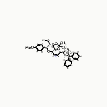 COc1ccc(COC(/C=C\CC(C)O[Si](c2ccccc2)(c2ccccc2)C(C)(C)C)[C@H]2OC(C)(C)O[C@H]2CCI)cc1